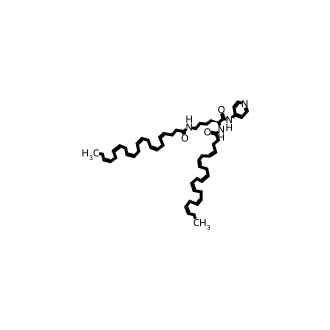 CC/C=C\C/C=C\C/C=C\C/C=C\C/C=C\C/C=C\CCC(=O)NCCCC[C@H](NC(=O)CC/C=C\C/C=C\C/C=C\C/C=C\C/C=C\C/C=C\CC)C(=O)Nc1ccncc1